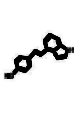 Oc1ccc(C=Cc2cccc3[nH]ccc23)cc1